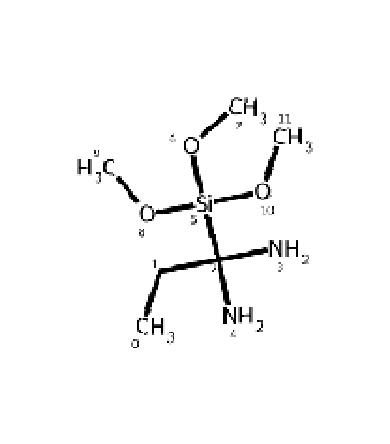 CCC(N)(N)[Si](OC)(OC)OC